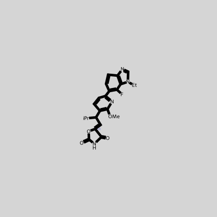 CCn1cnc2ccc(-c3ccc(C(/C=C4\OC(=O)NC4=O)C(C)C)c(OC)n3)c(F)c21